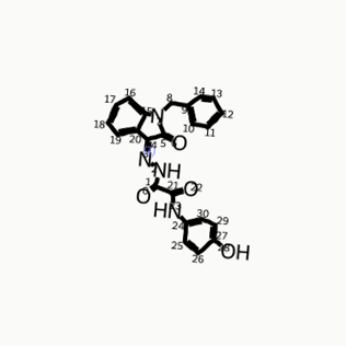 O=C(N/N=C1\C(=O)N(Cc2ccccc2)c2ccccc21)C(=O)Nc1ccc(O)cc1